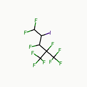 FC(F)C(I)C(F)C(F)(C(F)(F)F)C(F)(F)F